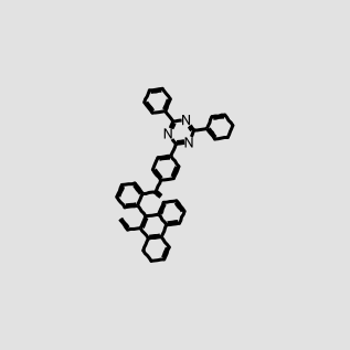 C=Cc1c2c(c3ccccc3c1-c1ccccc1C(=C)c1ccc(-c3nc(C4=CCCC=C4)nc(-c4ccccc4)n3)cc1)C=CCC2